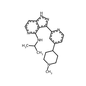 CC(C)Nc1nccc2[nH]nc(-c3cc(C4CCN(C)CC4)ccn3)c12